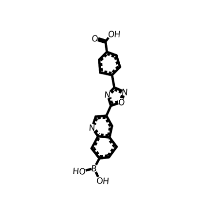 O=C(O)c1ccc(-c2noc(-c3cnc4cc(B(O)O)ccc4c3)n2)cc1